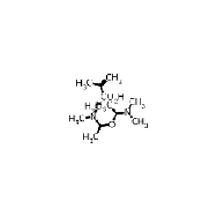 C=C(C)C(=O)O.CC(OC(C)N(C)C)N(C)C